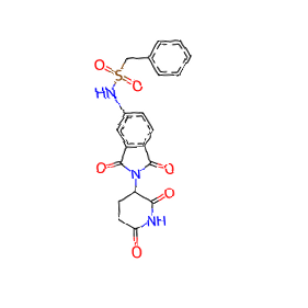 O=C1CCC(N2C(=O)c3ccc(NS(=O)(=O)Cc4ccccc4)cc3C2=O)C(=O)N1